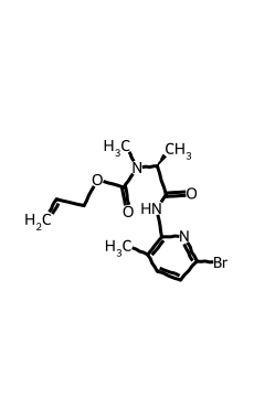 C=CCOC(=O)N(C)[C@@H](C)C(=O)Nc1nc(Br)ccc1C